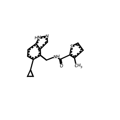 Cc1ccsc1C(=O)NCc1c(C2CC2)ccc2[nH]ncc12